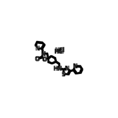 Cl.Cl.O=C1OC2(CCC(CNc3nc(-c4ccccn4)cs3)CC2)CN1c1ccccn1